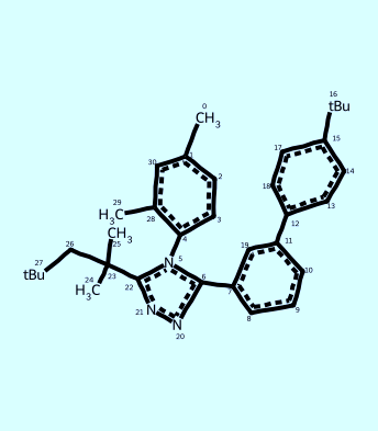 Cc1ccc(-n2c(-c3cccc(-c4ccc(C(C)(C)C)cc4)c3)nnc2C(C)(C)CC(C)(C)C)c(C)c1